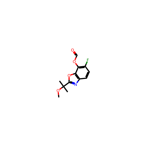 COC(C)(C)c1nc2ccc(F)c(OC=O)c2o1